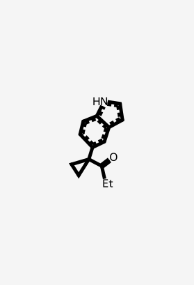 CCC(=O)C1(c2ccc3[nH]ccc3c2)CC1